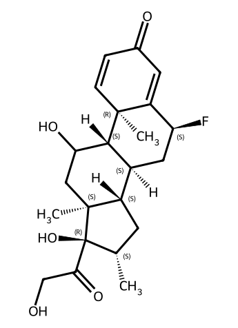 C[C@H]1C[C@H]2[C@@H]3C[C@H](F)C4=CC(=O)C=C[C@]4(C)[C@H]3C(O)C[C@]2(C)[C@@]1(O)C(=O)CO